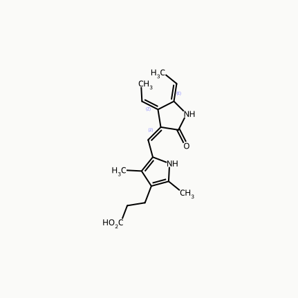 C/C=C1C(=C/c2[nH]c(C)c(CCC(=O)O)c2C)/C(=O)NC/1=C/C